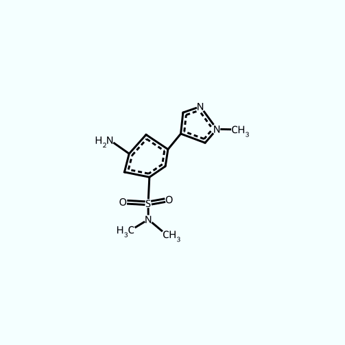 CN(C)S(=O)(=O)c1cc(N)cc(-c2cnn(C)c2)c1